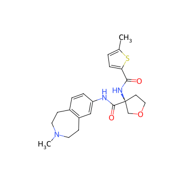 Cc1ccc(C(=O)N[C@@]2(C(=O)Nc3ccc4c(c3)CCN(C)CC4)CCOC2)s1